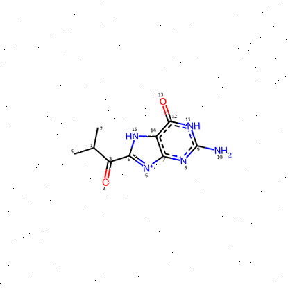 CC(C)C(=O)C1=[N+]c2nc(N)[nH]c(=O)c2N1